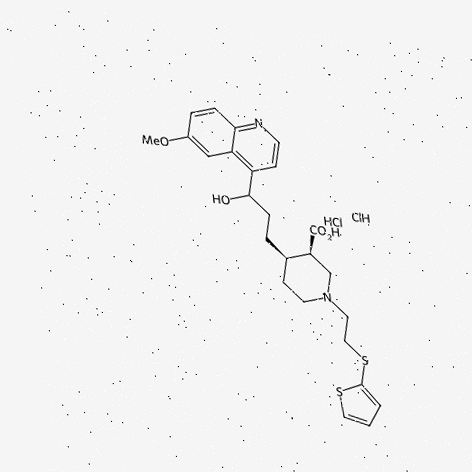 COc1ccc2nccc(C(O)CC[C@@H]3CCN(CCSc4cccs4)C[C@@H]3C(=O)O)c2c1.Cl.Cl